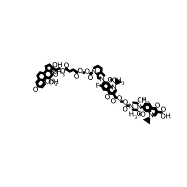 COc1c(N2CC3CCCN(C(=O)OCOC(=O)CCC(=O)OCC(=O)[C@@]4(O)CCC5C6CCC7=CC(=O)C=C[C@]7(C)C6[C@@H](O)C[C@@]54C)C3C2)c(F)cc2c(=O)c(C(=O)OCOC(=O)N3CCN(c4c(F)cc5c(=O)c(C(=O)O)cn(C6CC6)c5c4OC)C(C)C3)cn(C3CC3)c12